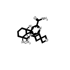 CO[C@@]1(c2ccnc(C(N)=O)c2)[C@@H]2CCC[C@H]1CN(C1CC3(COC3)C1)C2